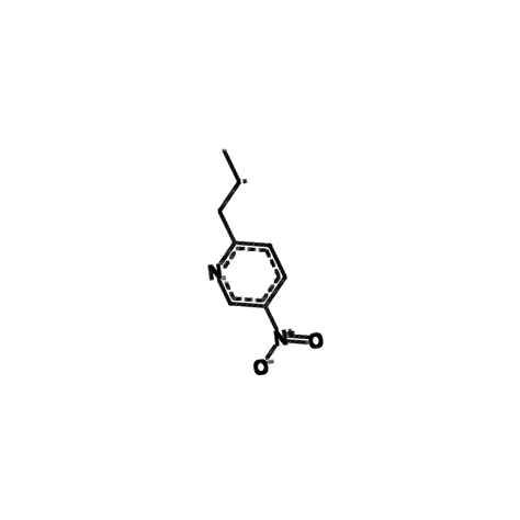 C[CH]Cc1ccc([N+](=O)[O-])cn1